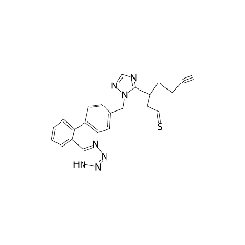 C#CCCC(CC=S)c1ncnn1Cc1ccc(-c2ccccc2-c2nnn[nH]2)cc1